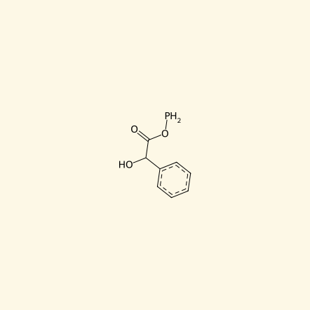 O=C(OP)C(O)c1ccccc1